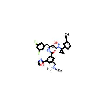 C#Cc1cccc(C2(NC[C@@H](O)[C@H](Cc3cc(F)cc(F)c3)NC(=O)c3cc(CN(C)CCCC)cc(-c4ncco4)c3)CC2)c1